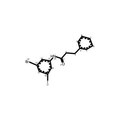 O=C(CCc1ccccc1)Nc1cc(Br)cc(I)c1